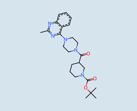 Cc1nc(N2CCN(C(=O)C3CCCN(C(=O)OC(C)(C)C)C3)CC2)c2ccccc2n1